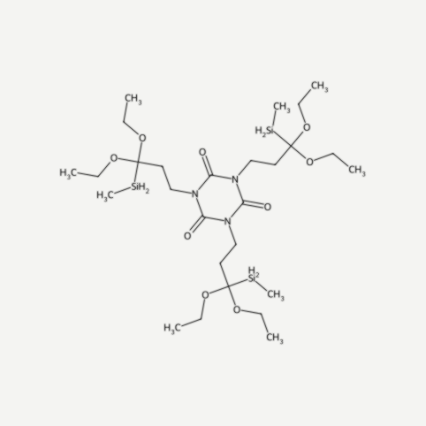 CCOC(CCn1c(=O)n(CCC(OCC)(OCC)[SiH2]C)c(=O)n(CCC(OCC)(OCC)[SiH2]C)c1=O)(OCC)[SiH2]C